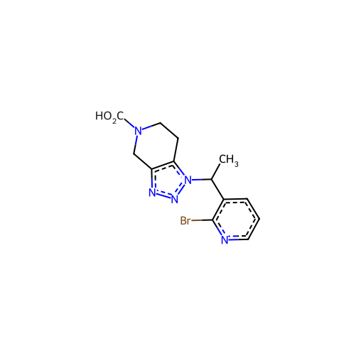 CC(c1cccnc1Br)n1nnc2c1CCN(C(=O)O)C2